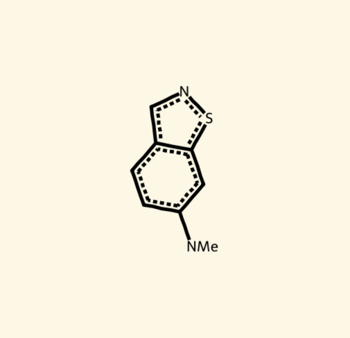 CNc1ccc2cnsc2c1